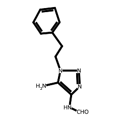 Nc1c(NC=O)nnn1CCc1ccccc1